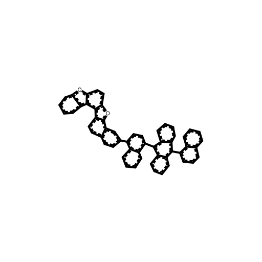 c1ccc2c(-c3c4ccccc4c(-c4ccc(-c5ccc6ccc7c(oc8ccc9oc%10ccccc%10c9c87)c6c5)c5ccccc45)c4ccccc34)cccc2c1